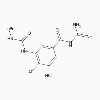 CCCNC(=O)Nc1cc(C(=O)NC(=N)N)ccc1Cl.Cl